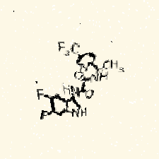 C[C@H](NC(=O)C(=O)Nc1c[nH]c2cc(F)c(F)cc12)c1ccc(C(F)(F)F)cn1